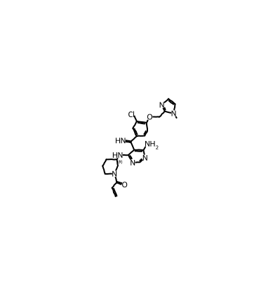 C=CC(=O)N1CCC[C@@H](Nc2ncnc(N)c2C(=N)c2ccc(OCc3nccn3C)c(Cl)c2)C1